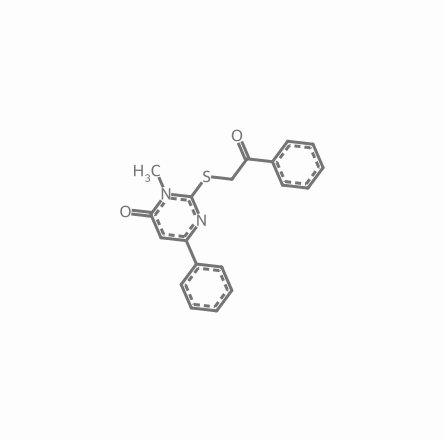 Cn1c(SCC(=O)c2ccccc2)nc(-c2ccccc2)cc1=O